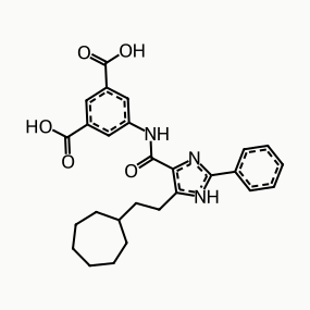 O=C(O)c1cc(NC(=O)c2nc(-c3ccccc3)[nH]c2CCC2CCCCCC2)cc(C(=O)O)c1